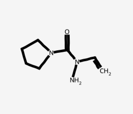 C=CN(N)C(=O)N1CCCC1